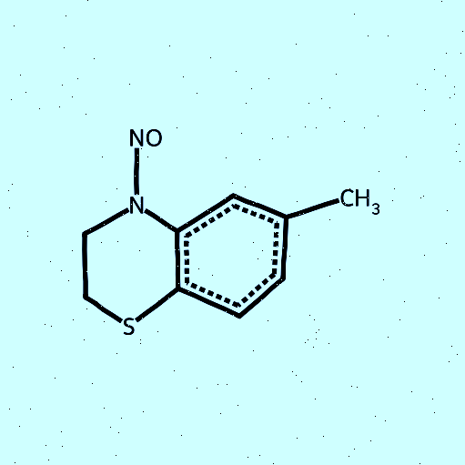 Cc1ccc2c(c1)N(N=O)CCS2